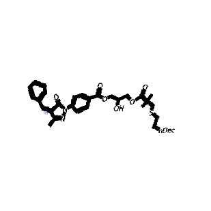 CCCCCCCCCCCCSCC(C)(C)C(=O)OCC(O)COC(=O)c1ccc(N2N=C(C)/C(=C/c3ccccc3)C2=O)cc1